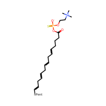 CCCCCC=CCC=CCC=CCC=CCCCC(=O)OP([O-])(=S)OCC[N+](C)(C)C